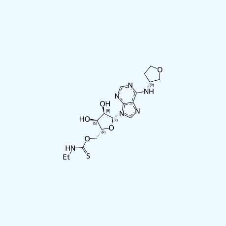 CCNC(=S)OC[C@H]1O[C@@H](n2cnc3c(N[C@@H]4CCOC4)ncnc32)[C@H](O)[C@@H]1O